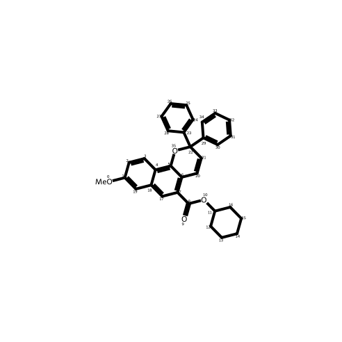 COc1ccc2c3c(c(C(=O)OC4CCCCC4)cc2c1)C=CC(c1ccccc1)(c1ccccc1)O3